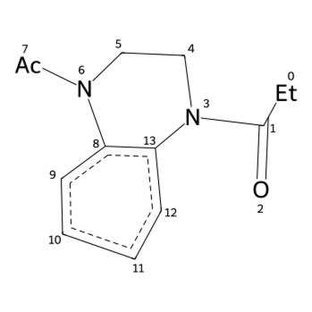 CCC(=O)N1CCN(C(C)=O)c2ccccc21